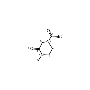 CCC(=O)N1CCN(C)C(=O)C1